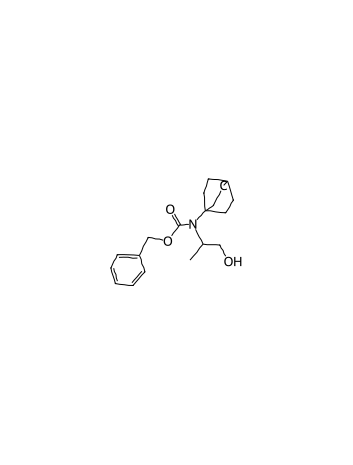 CC(CO)N(C(=O)OCc1ccccc1)C12CCC(CC1)CC2